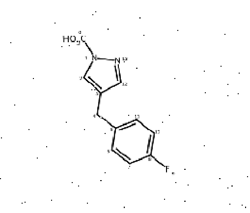 O=C(O)n1cc(Cc2ccc(F)cc2)cn1